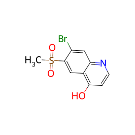 CS(=O)(=O)c1cc2c(O)ccnc2cc1Br